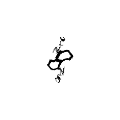 O=C=NC1CCCC2C(N=C=O)CCCC12